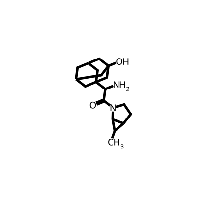 CC1C2CCN(C(=O)C(N)C34CC5CC(CC(O)(C5)C3)C4)C12